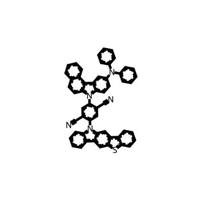 N#Cc1cc(-n2c3ccc(N(c4ccccc4)c4ccccc4)cc3c3c4ccccc4ccc32)c(C#N)cc1-n1c2ccccc2c2cc3sc4ccccc4c3cc21